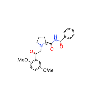 COc1ccc(OC)c(C(=O)CN2CCC[C@H]2C(=O)NC(=O)c2ccccc2)c1